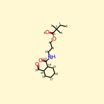 CCC(C)(C)C(=O)OCCCNC(=O)C1CCCCC1C=O